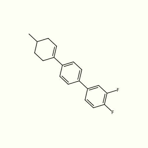 CC1CC=C(c2ccc(-c3ccc(F)c(F)c3)cc2)CC1